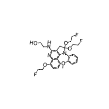 COc1ccccc1N1c2c(c(NCCO)nc3c(OCCF)cccc23)CC1(OCCF)OCCF